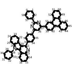 c1ccc(-c2nc(-c3ccc(-c4nc5ccccc5c5c4c4ccccc4n5-c4ccccc4)cc3)cc(-c3ccc4c5ccccc5c5ccccc5c4c3)n2)cc1